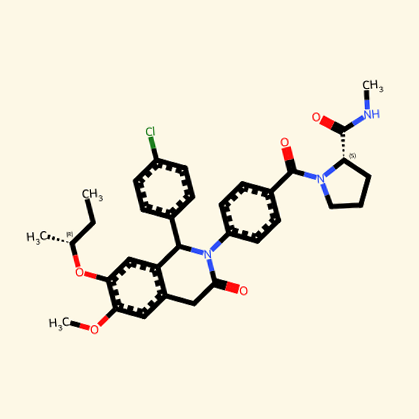 CC[C@@H](C)Oc1cc2c(cc1OC)CC(=O)N(c1ccc(C(=O)N3CCC[C@H]3C(=O)NC)cc1)C2c1ccc(Cl)cc1